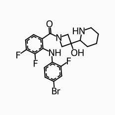 O=C(c1ccc(F)c(F)c1Nc1ccc(Br)cc1F)N1CC(O)(C2CCCCN2)C1